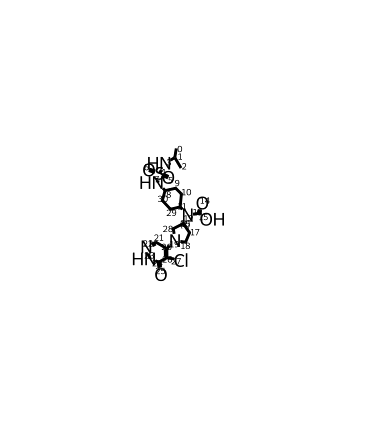 CC(C)NS(=O)(=O)NC1CCC(N(C(=O)O)[C@@H]2CCN(c3cn[nH]c(=O)c3Cl)C2)CC1